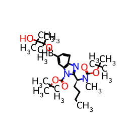 CCCC[C@@H](c1nc2ccc(BOC(C)(C)C(C)(C)O)cc2n1C(=O)OC(C)(C)C)N(C)C(=O)OC(C)(C)C